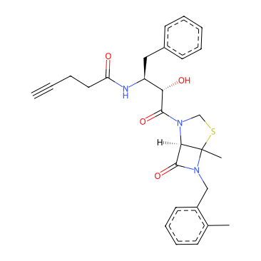 C#CCCC(=O)N[C@@H](Cc1ccccc1)[C@H](O)C(=O)N1CSC2(C)[C@H]1C(=O)N2Cc1ccccc1C